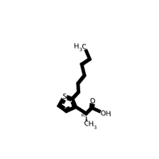 CCCCCCc1sccc1[C@@H](C)C(=O)O